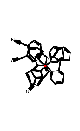 N#Cc1cccc([Si](c2ccccc2)(c2ccccc2)c2ccccc2-c2ccccc2-n2c3ccc(C#N)cc3c3cc(C#N)ccc32)c1